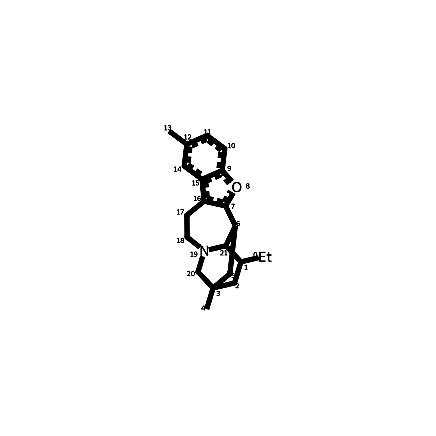 CCC1CC2(C)CC3c4oc5ccc(C)cc5c4CCN(C2)C13